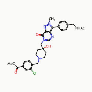 COC(=O)c1ccc(CN2CCC(O)(Cn3cnc4c(-c5ccc(CNC(C)=O)cc5)n(C)nc4c3=O)CC2)c(Cl)c1